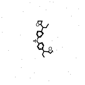 CCC(c1ccc(N(C)c2ccc(C(CC)C3CCO3)cc2)cc1)C1CCO1